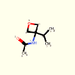 CC(=O)NC1(C(C)C)COC1